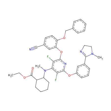 CCOC(=O)C1CCCCC1N(C)c1c(F)c(Oc2cccc(C3=NCCN3C)c2)nc(Oc2cc(C#N)ccc2OCc2ccccc2)c1F